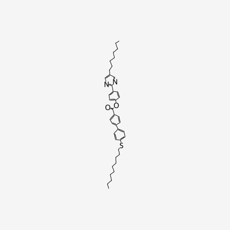 CCCCCCCCCCSc1ccc(-c2ccc(C(=O)Oc3ccc(-c4ncc(CCCCCCCC)cn4)cc3)cc2)cc1